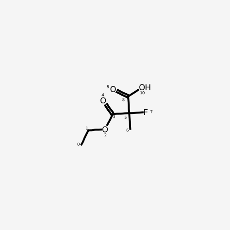 CCOC(=O)C(C)(F)C(=O)O